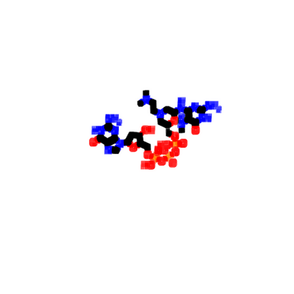 CNc1c(NC2CN(CCN(C)C)C[C@@H](COP(=O)(O)OP(=O)(O)OP(=O)(O)OCC3OC(n4cnc5c(=O)[nH]c(N)nc54)C[C@@H]3O)O2)nc(N)[nH]c1=O